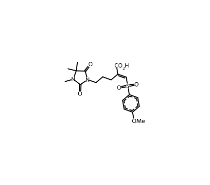 COc1ccc(S(=O)(=O)C=C(CCCN2C(=O)N(C)C(C)(C)C2=O)C(=O)O)cc1